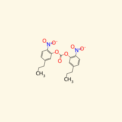 CCCc1ccc([N+](=O)[O-])c(OC(=O)Oc2cc(CCC)ccc2[N+](=O)[O-])c1